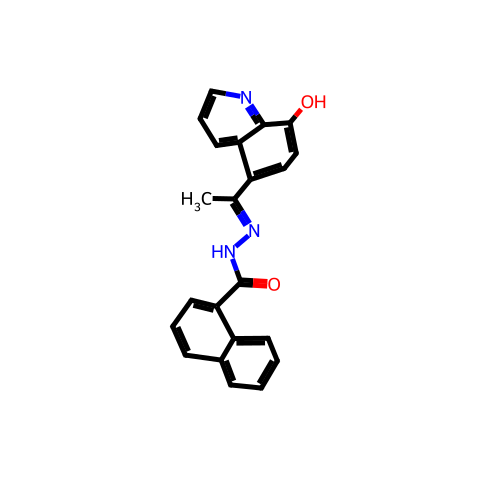 C/C(=N\NC(=O)c1cccc2ccccc12)c1ccc(O)c2ncccc12